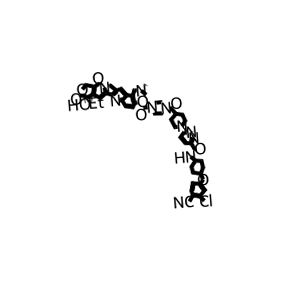 CC[C@@]1(O)C(=O)OCc2c1cc1n(c2=O)Cc2cc3c(CN(C)C)c(OC(=O)N4CCN(C(=O)C5CCN(c6ccc(C(=O)NC7CCC(Oc8ccc(C#N)c(Cl)c8)CC7)nn6)CC5)CC4)ccc3nc2-1